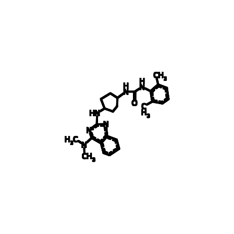 Cc1cccc(C)c1NC(=O)NC1CCC(Nc2nc(N(C)C)c3ccccc3n2)CC1